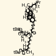 CC[C@H](CC[C@@H](C)[C@H]1CC[C@H]2[C@@H]3CC=C4C[C@@H](SSCCC(=O)N(CCCCCCCC(C)NC(=O)OC(C)(C)C)CCC(C)NC(=O)OC(C)(C)C)CC[C@]4(C)[C@H]3CC[C@]12C)C(C)C